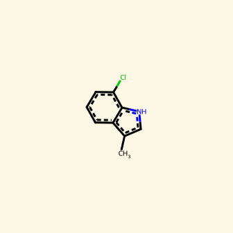 Cc1c[nH]c2c(Cl)cccc12